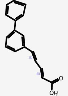 O=C(O)/C=C/C=C/c1cccc(-c2ccccc2)c1